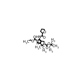 CCOC(=O)n1nc2c(c1NC(=O)C1CCCO1)CN(C(=O)OC(C)(C)C)C2(C)C